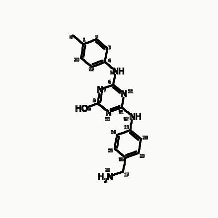 Cc1ccc(Nc2nc(O)nc(Nc3ccc(CN)cc3)n2)cc1